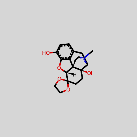 CN1CC[C@]23c4c5ccc(O)c4O[C@H]2C2(CC[C@@]3(O)C1C5)OCCO2